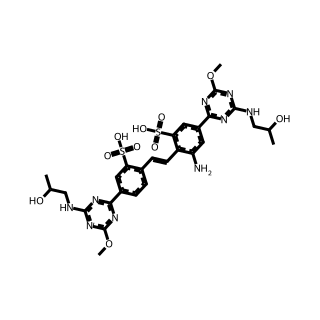 COc1nc(NCC(C)O)nc(-c2ccc(C=Cc3c(N)cc(-c4nc(NCC(C)O)nc(OC)n4)cc3S(=O)(=O)O)c(S(=O)(=O)O)c2)n1